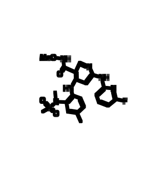 CONC(=O)c1cnc(Nc2cccc(F)n2)cc1Nc1ccc(C)cc1N(C)S(C)(=O)=O